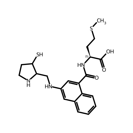 CSCC[C@H](NC(=O)c1cc(NCC2NCCC2S)cc2ccccc12)C(=O)O